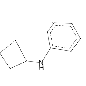 [c]1cccc(NC2CCC2)c1